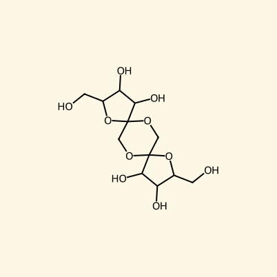 OCC1OC2(COC3(CO2)OC(CO)C(O)C3O)C(O)C1O